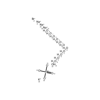 O.O.O.O.O.O.O.O.O.O.O.O.O=P([O-])([O-])[O-].[Br-].[K+].[Na+].[Na+].[Na+]